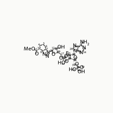 COC(=O)c1cccc2c1nnn2[C@H]1C[C@H](O)[C@@H](COP(=O)(O)O[C@H]2[C@@H](F)[C@H](n3cnc4c(N)ncnc43)O[C@@H]2COP(=O)(O)O)O1